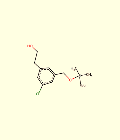 CC(C)(C)[Si](C)(C)OCc1cc(Cl)cc(CCO)c1